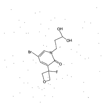 O=c1c(C2(F)COC2)cc(Br)cn1CCC(O)O